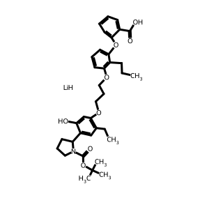 CCCc1c(OCCCOc2cc(O)c(C3CCCN3C(=O)OC(C)(C)C)cc2CC)cccc1Oc1ccccc1C(=O)O.[LiH]